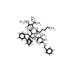 CCCCCC(=O)NC(C(=O)NC(C(=O)OC)C(C)C)C(CO)(CNC(=O)[C@H](C)NC(=O)OCc1ccccc1)Cc1ccccc1-c1ccccc1